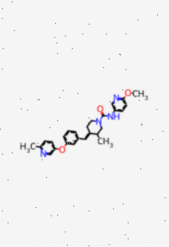 COc1ccc(NC(=O)N2CCC(=Cc3cccc(Oc4ccc(C)nc4)c3)C(C)C2)cn1